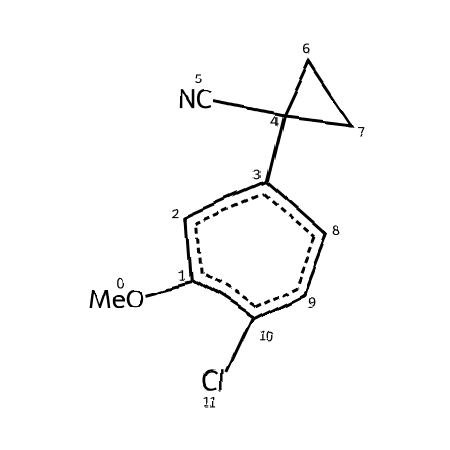 COc1cc(C2(C#N)CC2)ccc1Cl